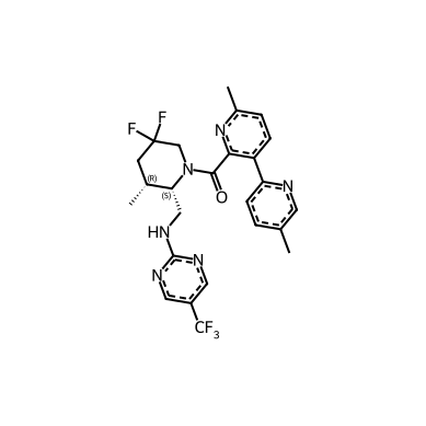 Cc1ccc(-c2ccc(C)nc2C(=O)N2CC(F)(F)C[C@@H](C)[C@H]2CNc2ncc(C(F)(F)F)cn2)nc1